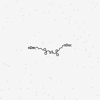 CCCCCCCCCCCCCCOC(=O)CSSCC(=O)OCCCCCCCCCCCCCC